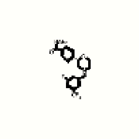 CNC(=O)c1ccc([C@H]2CN(Cc3cc(F)cc(C(F)(F)F)c3)CCO2)cc1